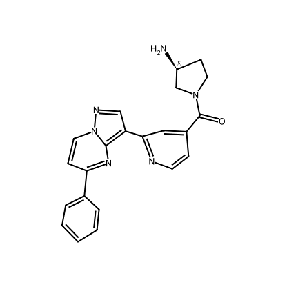 N[C@H]1CCN(C(=O)c2ccnc(-c3cnn4ccc(-c5ccccc5)nc34)c2)C1